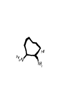 I.NC1CCCCC1N